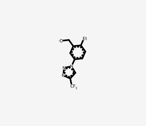 CCc1ccc(-n2cc(C(F)(F)F)nn2)cc1C[O]